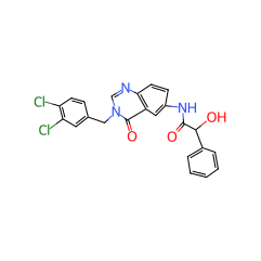 O=C(Nc1ccc2ncn(Cc3ccc(Cl)c(Cl)c3)c(=O)c2c1)C(O)c1ccccc1